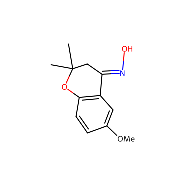 COc1ccc2c(c1)C(=NO)CC(C)(C)O2